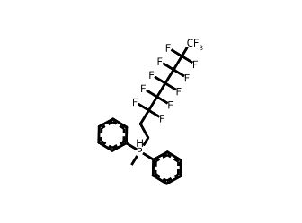 C[PH](CCC(F)(F)C(F)(F)C(F)(F)C(F)(F)C(F)(F)C(F)(F)F)(c1ccccc1)c1ccccc1